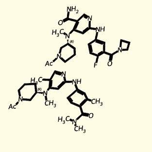 CC(=O)N1CCC[C@@H](N(C)c2cc(Nc3ccc(C(=O)N(C)C)c(C)c3)ncc2C)C1.CC(=O)N1CCC[C@@H](N(C)c2cc(Nc3ccc(F)c(C(=O)N4CCC4)c3)ncc2C(N)=O)C1